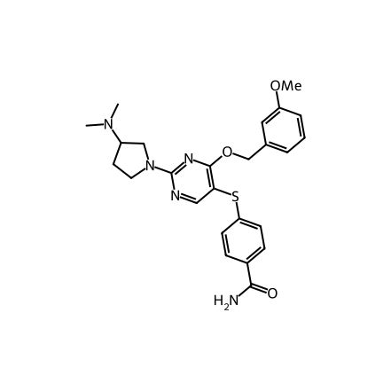 COc1cccc(COc2nc(N3CCC(N(C)C)C3)ncc2Sc2ccc(C(N)=O)cc2)c1